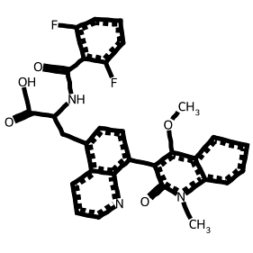 COc1c(-c2ccc(CC(NC(=O)c3c(F)cccc3F)C(=O)O)c3cccnc23)c(=O)n(C)c2ccccc12